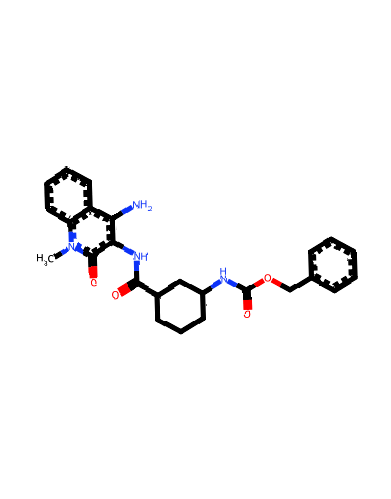 Cn1c(=O)c(NC(=O)C2CCCC(NC(=O)OCc3ccccc3)C2)c(N)c2ccccc21